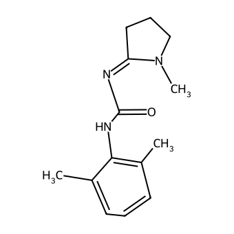 Cc1cccc(C)c1NC(=O)N=C1CCCN1C